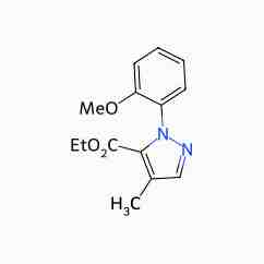 CCOC(=O)c1c(C)cnn1-c1ccccc1OC